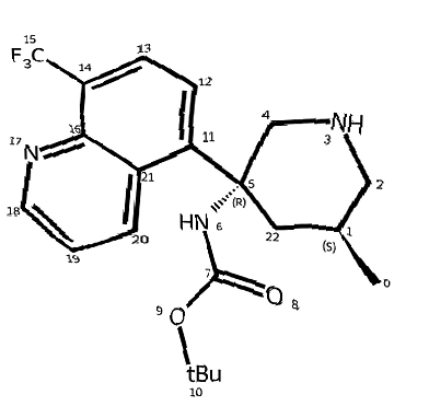 C[C@@H]1CNC[C@](NC(=O)OC(C)(C)C)(c2ccc(C(F)(F)F)c3ncccc23)C1